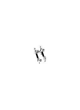 [SiH3][Fe].[Ti][Fe]